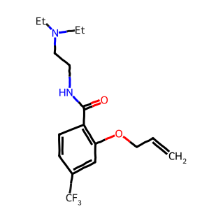 C=CCOc1cc(C(F)(F)F)ccc1C(=O)NCCN(CC)CC